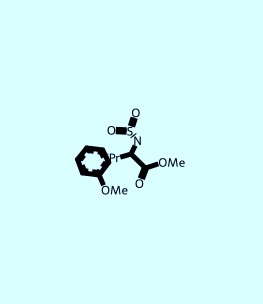 COC(=O)C(N=S(=O)=O)C(C)C.COc1ccccc1